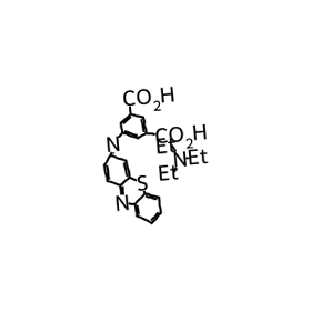 CCN(CC)CC.O=C(O)c1cc(N=c2ccc3nc4ccccc4sc-3c2)cc(C(=O)O)c1